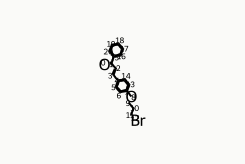 O=C(/C=C/c1ccc(OCCCBr)cc1)c1ccccc1